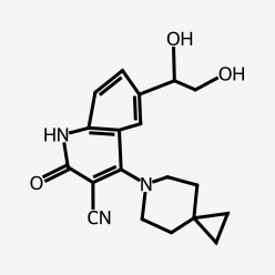 N#Cc1c(N2CCC3(CC2)CC3)c2cc(C(O)CO)ccc2[nH]c1=O